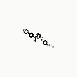 N[C@H]1CC[C@@H](COc2ccnc(Nc3ccc(N4CCOCC4)cc3)n2)CC1